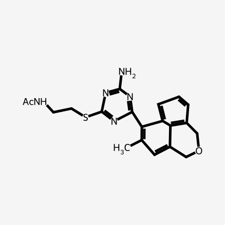 CC(=O)NCCSc1nc(N)nc(-c2c(C)cc3c4c(cccc24)COC3)n1